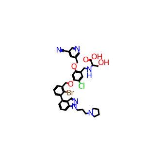 N#Cc1cncc(COc2cc(OCc3cccc(-c4cccc5c4cnn5CCCN4CCCC4)c3Br)c(Cl)cc2CNC(CO)C(=O)O)c1